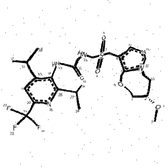 CO[C@@H]1COc2c(S(=O)(=O)NC(=O)Nc3c(C(C)C)cc(C(F)(F)F)nc3C(C)C)cnn2C1